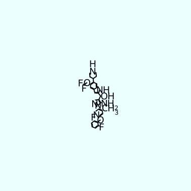 Cc1cc(Oc2c(F)cccc2F)ncc1-n1ncc(C(O)c2cc3cc(OC(F)F)c(C4CCNCC4)cc3[nH]2)c1N